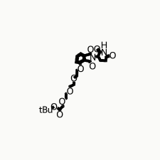 CC(C)(C)OC(=O)COCCOCCOCCOc1cccc2c1C(=O)N(C1CCC(=O)NC1=O)C2=O